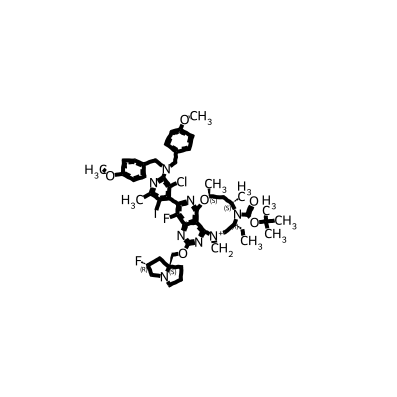 C=[N+]1C[C@@H](CC)N(C(=O)OC(C)(C)C)[C@@H](C)C[C@H](C)Oc2nc(-c3c(Cl)c(N(Cc4ccc(OC)cc4)Cc4ccc(OC)cc4)nc(C)c3I)c(F)c3nc(OC[C@@]45CCCN4C[C@H](F)C5)nc1c23